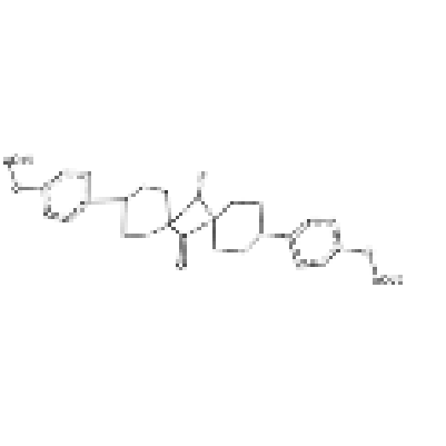 CCCCCCCCOc1ccc(C2CCC3(CC2)C(=O)C2(CCC(c4ccc(OCCCCCCCC)cc4)CC2)C3F)cc1